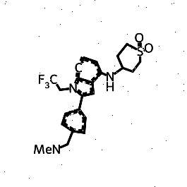 CNCc1ccc(-c2cc3c(NC4CCS(=O)(=O)CC4)cccc3n2CC(F)(F)F)cc1